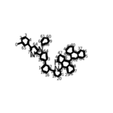 Cc1cccc(-c2cnc3c4cc(-c5cccc(C6=CC=CC(c7c8ccccc8c(-c8cc9ccccc9c9ccccc89)c8ccccc78)N6)c5)ccc4n(-c4ccccc4)c3c2)c1